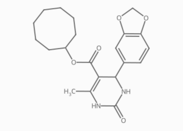 CC1=C(C(=O)OC2CCCCCCC2)C(c2ccc3c(c2)OCO3)NC(=O)N1